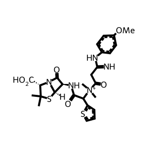 COc1ccc(NC(=N)CC(=O)[N+](C)(C)C(C(=O)N[C@@H]2C(=O)N3[C@@H]2SC(C)(C)[C@@H]3C(=O)O)c2cccs2)cc1